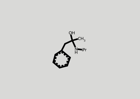 CC(C)NC(C)(O)Cc1ccccc1